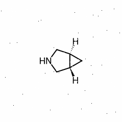 C1NC[C@H]2C[C@H]12